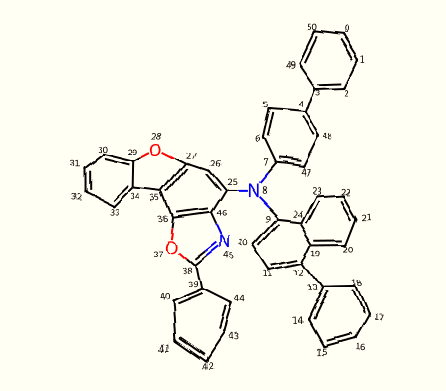 c1ccc(-c2ccc(N(c3ccc(-c4ccccc4)c4ccccc34)c3cc4oc5ccccc5c4c4oc(-c5ccccc5)nc34)cc2)cc1